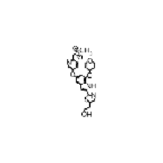 CS(=O)(=O)Cc1ccc(Oc2cc(OC3CCOCC3)c3[nH]c(C4=NCC(CCO)S4)cc3c2)cn1